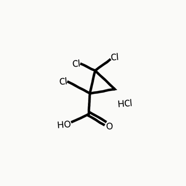 Cl.O=C(O)C1(Cl)CC1(Cl)Cl